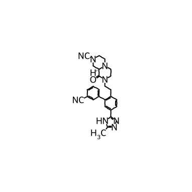 Cc1nnc(-c2ccc(CCN3CCN4CCN(C#N)C[C@@H]4C3=O)c(-c3cccc(C#N)c3)c2)[nH]1